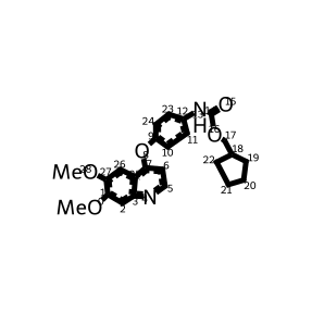 COc1cc2nccc(Oc3ccc(NC(=O)OCC4CCCC4)cc3)c2cc1OC